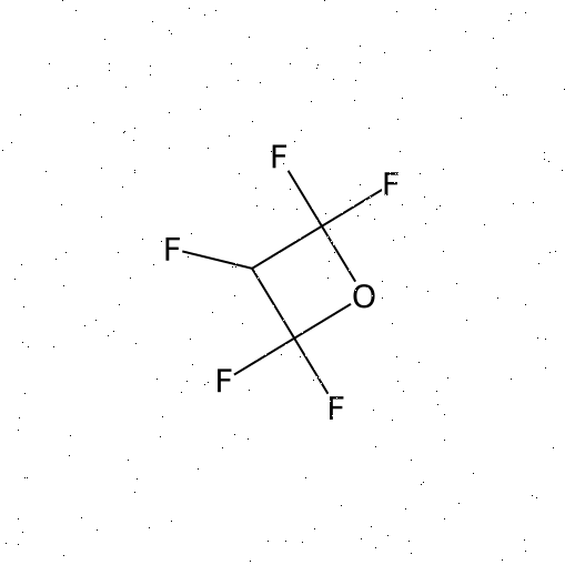 FC1C(F)(F)OC1(F)F